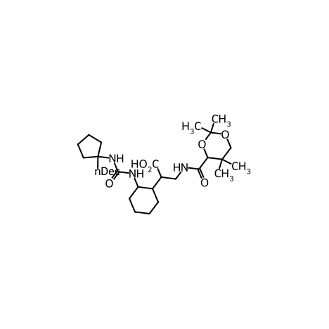 CCCCCCCCCCC1(NC(=O)NC2CCCCC2C(CNC(=O)C2OC(C)(C)OCC2(C)C)C(=O)O)CCCC1